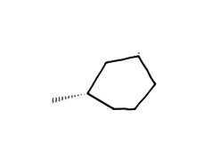 C[C@@H]1C[CH]CCC1